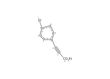 CCOC(=O)C#Cc1ccc(CC)cc1